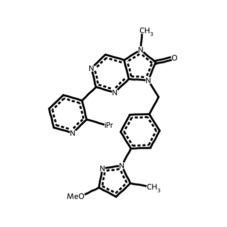 COc1cc(C)n(-c2ccc(Cn3c(=O)n(C)c4cnc(-c5cccnc5C(C)C)nc43)cc2)n1